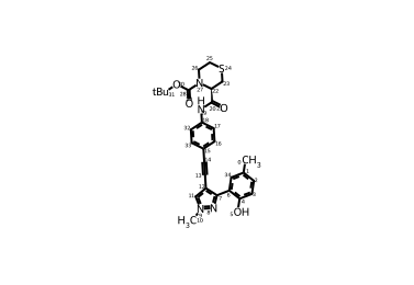 Cc1ccc(O)c(-c2nn(C)cc2C#Cc2ccc(NC(=O)[C@@H]3CSCCN3C(=O)OC(C)(C)C)cc2)c1